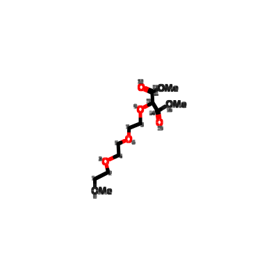 COCCOCCOCCOC(C(=O)OC)C(=O)OC